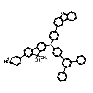 C#C/C=C\C(=C/C)c1ccc2c(c1)C(C)(C)c1cc(N(c3ccc(-c4cc(-c5ccccc5)cc(-c5ccccc5)c4)cc3)c3ccc(-c4ccc5oc6ccccc6c5c4)cc3)ccc1-2